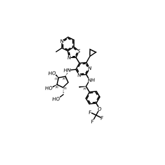 Cc1nccc2sc(-c3c(N[C@@H]4C[C@H](CO)[C@@H](O)[C@H]4O)nc(N[C@H](C)c4ccc(OC(F)(F)F)cc4)nc3C3CC3)nc12